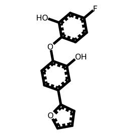 Oc1cc(F)ccc1Oc1ccc(-c2ccco2)cc1O